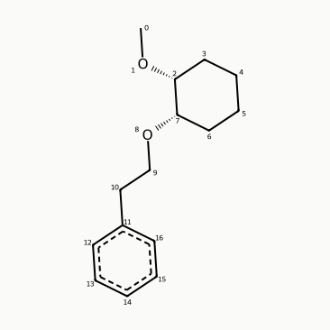 CO[C@@H]1CCCC[C@@H]1OCCc1ccccc1